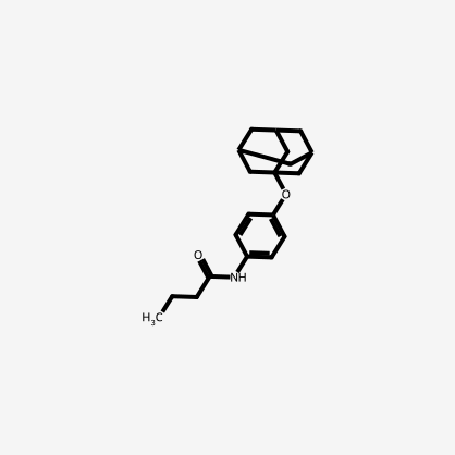 CCCC(=O)Nc1ccc(OC23CC4CC(CC(C4)C2)C3)cc1